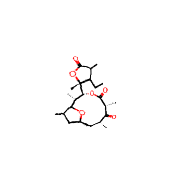 CCC1C(C)C(=O)O[C@@]1(C)[C@@H]1OC(=O)[C@H](C)C(=O)[C@H](C)C[C@@]2(C)CC(C)C(O2)[C@@H]1C